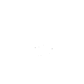 CCCCOc1ccc(C[C@H]2NC(=O)NN(Cc3ccccc3)C[C@H]2OCCCC)cc1